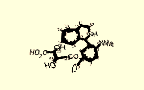 CNc1ccc(Cl)cc1C1NCCc2ccccc21.O=C(O)C(O)C(O)C(=O)O